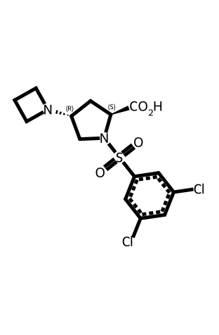 O=C(O)[C@@H]1C[C@@H](N2CCC2)CN1S(=O)(=O)c1cc(Cl)cc(Cl)c1